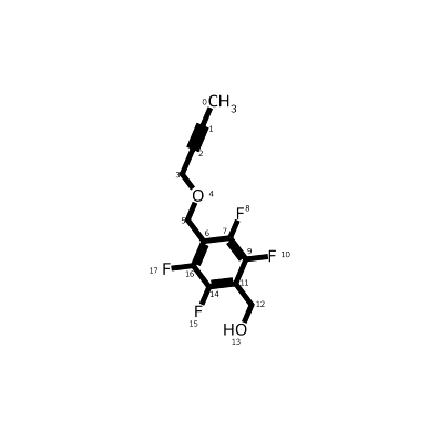 CC#CCOCc1c(F)c(F)c(CO)c(F)c1F